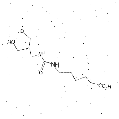 O=C(O)CCCCCNC(=O)NCC(CO)CO